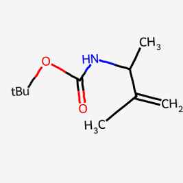 C=C(C)C(C)NC(=O)OC(C)(C)C